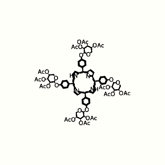 CC(=O)O[C@@H]1[C@H](Oc2ccc(-c3c4nc(c(-c5ccc(O[C@@H]6OC[C@@H](OC(C)=O)[C@@H](OC(C)=O)[C@@H]6OC(C)=O)cc5)c5ccc([nH]5)c(-c5ccc(O[C@@H]6OC[C@@H](OC(C)=O)[C@@H](OC(C)=O)[C@@H]6OC(C)=O)cc5)c5nc(c(-c6ccc(O[C@@H]7OC[C@@H](OC(C)=O)[C@@H](OC(C)=O)[C@@H]7OC(C)=O)cc6)c6ccc3[nH]6)C=C5)C=C4)cc2)OC[C@@H](OC(C)=O)[C@H]1OC(C)=O